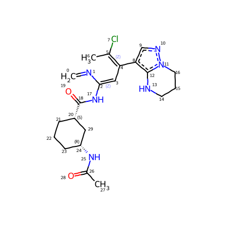 C=N/C(=C\C(=C(/C)Cl)c1cnn2c1NCCC2)NC(=O)[C@H]1CCC[C@@H](NC(C)=O)C1